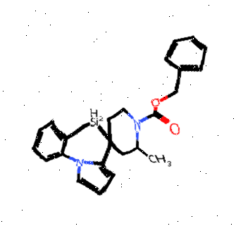 CC1CC2(CCN1C(=O)OCc1ccccc1)[SiH2]c1ccccc1-n1cccc12